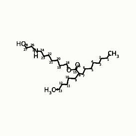 CCCCCCCCC(CCCCCC)C(=O)OCCCCCCCNCCO